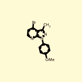 COc1ccc(-n2nc(C)c3c(Br)ccnc32)cc1